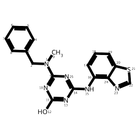 CN(Cc1ccccc1)c1nc(O)nc(Nc2cccc3scnc23)n1